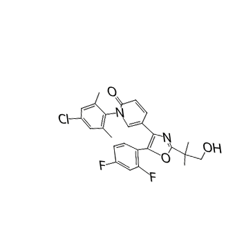 Cc1cc(Cl)cc(C)c1-n1cc(-c2nc(C(C)(C)CO)oc2-c2ccc(F)cc2F)ccc1=O